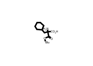 CC(C)(C)OC(=O)C(N)(CC1CCCCC1)C(=O)O